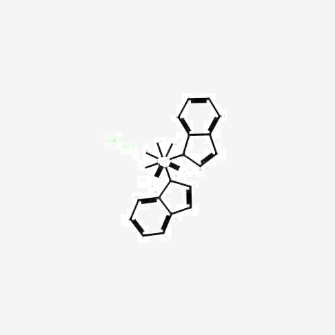 Cl.Cl.[CH3][Hf]([CH3])([CH3])([CH3])(=[SiH2])(=[SiH2])([CH]1C=Cc2ccccc21)[CH]1C=Cc2ccccc21